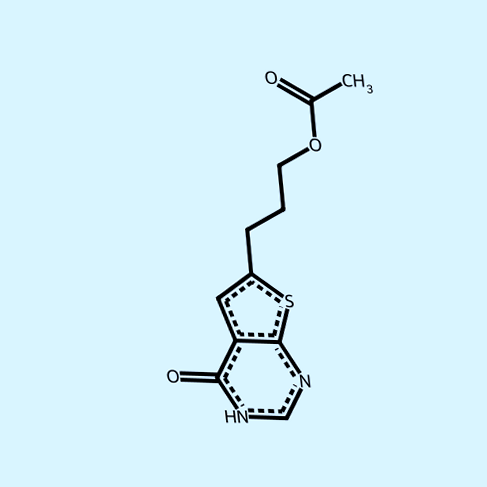 CC(=O)OCCCc1cc2c(=O)[nH]cnc2s1